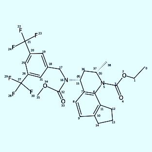 CCOC(=O)N1c2c(ccc3c2CCC3)[C@H](N(Cc2cc(C(F)(F)F)cc(C(F)(F)F)c2)C(=O)OC)C[C@@H]1C